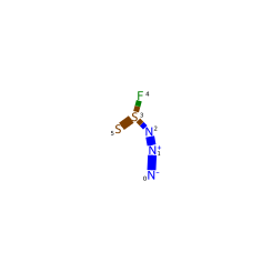 [N-]=[N+]=NS(F)=S